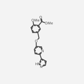 COC(=O)c1cc(COc2ccc(-c3ccn[nH]3)nc2)ccc1OC